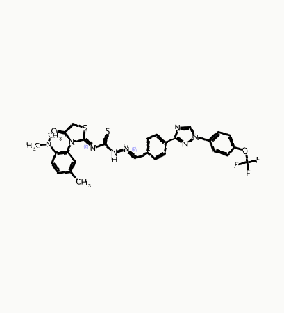 Cc1ccc(N(C)C)c(N2C(=O)CS/C2=N\C(=S)N/N=C/c2ccc(-c3ncn(-c4ccc(OC(F)(F)F)cc4)n3)cc2)c1